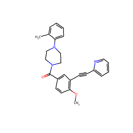 COc1ccc(C(=O)N2CCN(c3ccccc3C)CC2)cc1C#Cc1ccccn1